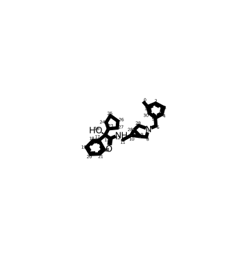 Cc1cccc(CN2CC3C(CNC(=O)[C@@](O)(c4ccccc4)C4CCCC4)C3C2)c1